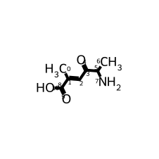 C/C(=C\C(=O)C(C)N)C(=O)O